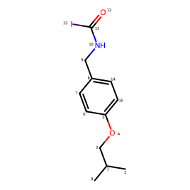 CC(C)COc1ccc(CNC(=O)I)cc1